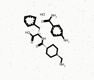 Cl.NC(=O)c1ccc(N)cc1.NC[C@H]1CC[C@H](C(=O)N[C@@H](Cc2ccccc2)C(=O)O)CC1